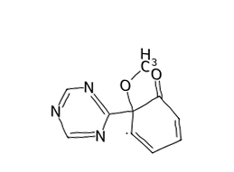 COC1(c2ncncn2)[C]=CC=CC1=O